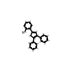 Brc1ccccc1C1=CC(c2ccccc2)=C(c2ccccc2)C1